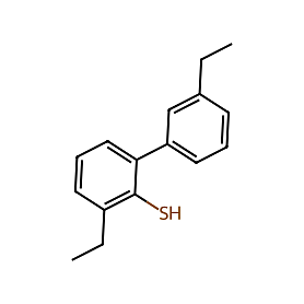 CCc1cccc(-c2cccc(CC)c2S)c1